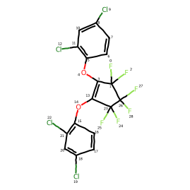 FC1(F)C(Oc2ccc(Cl)cc2Cl)=C(Oc2ccc(Cl)cc2Cl)C(F)(F)C1(F)F